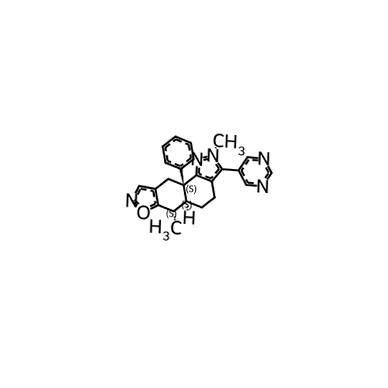 C[C@@H]1c2oncc2C[C@]2(c3ccccc3)c3nn(C)c(-c4cncnc4)c3CC[C@@H]12